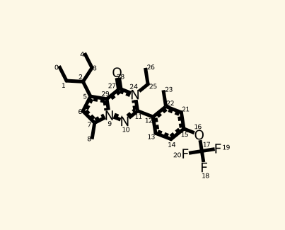 CCC(CC)c1cc(C)n2nc(-c3ccc(OC(F)(F)F)cc3C)n(CC)c(=O)c12